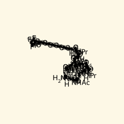 CC[C@H](NC(=O)[C@H](C)NC(=O)[C@H](CC(C)C)NC(=O)[C@H](CC(=O)O)NC(=O)CNC(=O)[C@H](CCCNC(=N)N)NC(C)=O)C(=O)N[C@@H](CC(C)C)C(=O)N[C@@H](CCCNC(N)=O)C(=O)NC(C)(C)C(=O)N[C@@H](CC(C)C)C(=O)NCCOCCOCCOCCOCCOCCC(=O)Oc1c(F)c(F)cc(F)c1F